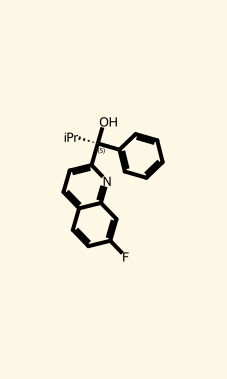 CC(C)[C@](O)(c1ccccc1)c1ccc2ccc(F)cc2n1